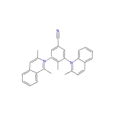 Cc1c(-[n+]2c(C)cc3ccccc3c2C)cc(C#N)cc1-[n+]1c(C)ccc2ccccc21